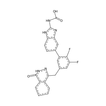 O=C(O)Nc1nc2cc(-c3cc(Cc4n[nH]c(=O)c5ccccc45)cc(F)c3F)ccc2[nH]1